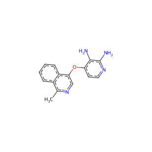 Cc1ncc(Oc2ccnc(N)c2N)c2ccccc12